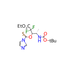 CCOC(=O)C(F)(F)C(OC(=S)n1ccnc1)[C@H](C)NC(=O)OC(C)(C)C